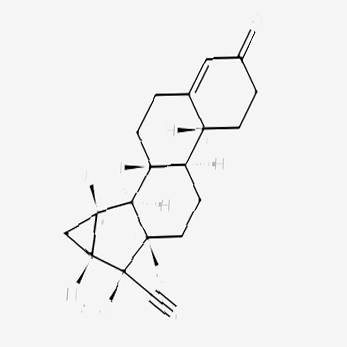 C#C[C@]1(OC(C)=O)[C@@H]2C[C@@H]2[C@H]2[C@@H]3CCC4=CC(=O)CC[C@@H]4[C@H]3CC[C@@]21C